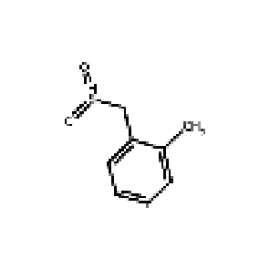 Cc1c[c]ccc1C[SH](=O)=O